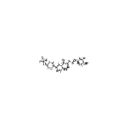 O=c1c2cc(-c3ccc(OC(F)(F)F)cc3)ccc2nnn1CCOc1ncc(Br)cn1